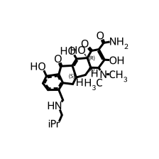 CC(C)CNCc1ccc(O)c2c1C[C@@H]1C[C@@H]3C(N(C)C)C(O)=C(C(N)=O)C(=O)[C@]3(O)C(O)=C1C2=O